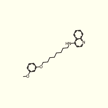 COc1cccc(OCCCCCCCCNc2ccnc3ccccc23)c1